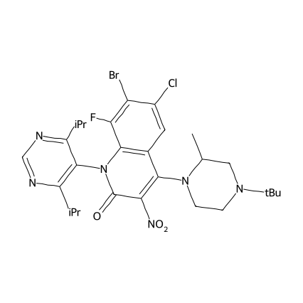 CC(C)c1ncnc(C(C)C)c1-n1c(=O)c([N+](=O)[O-])c(N2CCN(C(C)(C)C)CC2C)c2cc(Cl)c(Br)c(F)c21